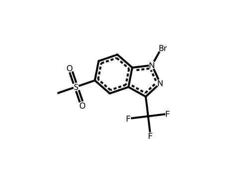 CS(=O)(=O)c1ccc2c(c1)c(C(F)(F)F)nn2Br